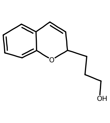 OCCCC1C=Cc2ccccc2O1